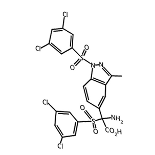 Cc1nn(S(=O)(=O)c2cc(Cl)cc(Cl)c2)c2ccc(C(N)(C(=O)O)S(=O)(=O)c3cc(Cl)cc(Cl)c3)cc12